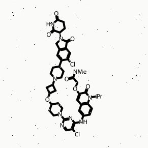 CNC(=O)COc1cc2cc(Nc3nc(N4CCC(OC5CC(N6CCC(c7cc8c(cc7Cl)C(=O)N([C@@H]7CCC(=O)NC7=O)C8)CC6)C5)CC4)ncc3Cl)ccc2n(C(C)C)c1=O